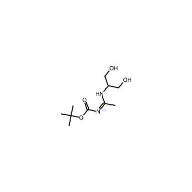 C/C(=N/C(=O)OC(C)(C)C)NC(CO)CO